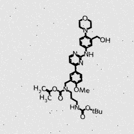 C=C(C)OC(=O)N(CCCNC(=O)OC(C)(C)C)Cc1cc(-c2ccnc(Nc3ccc(N4CCOCC4)c(CO)c3)n2)ccc1OC